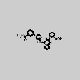 NC(=O)c1cccc(-n2cnc(Nc3nc(N4CCC[C@H]4CO)nc4cccn34)c2)c1